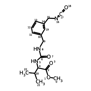 COC(=O)C(NC(=O)NCc1cccc(CN=C=O)c1)C(C)C